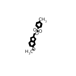 COc1ccc2c(c1)CC(COS(=O)(=O)c1ccc(C)cc1)C2